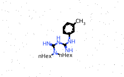 CCCCCCN(CCCCCC)C(=N)NC(=N)Nc1cccc(C)c1